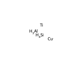 [AlH3].[Cu].[SiH4].[Ti]